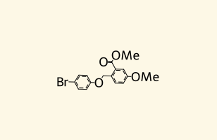 COC(=O)c1cc(OC)ccc1COc1ccc(Br)cc1